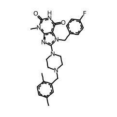 Cc1ccc(C)c(CN2CCN(c3nc4c(c(=O)[nH]c(=O)n4C)n3Cc3ccc(F)cc3)CC2)c1